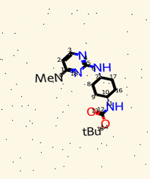 CNc1ccnc(N[C@H]2CC[C@@H](NC(=O)OC(C)(C)C)CC2)n1